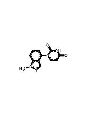 Cn1ncc2c(-n3ccc(=O)[nH]c3=O)cccc21